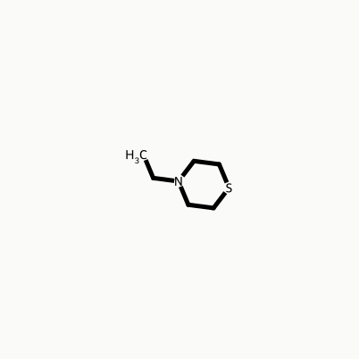 CCN1CCSCC1